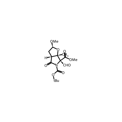 COC(=O)[C@]1(C=O)N(C(=O)OC(C)(C)C)C(=O)[C@@H]2C[C@@H](OC)O[C@@]21C